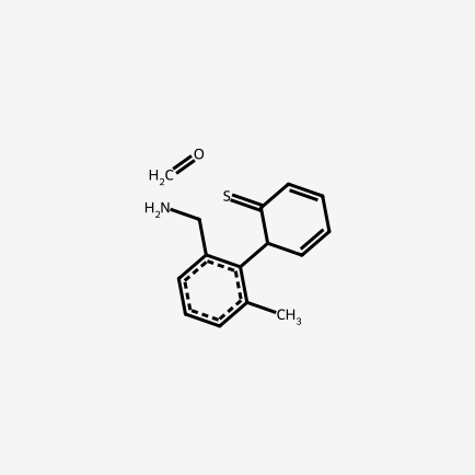 C=O.Cc1cccc(CN)c1C1C=CC=CC1=S